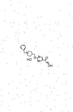 Cl.O=C(/C=N/O)c1cnc(OCC2CCN(Cc3ccccc3)CC2)nc1